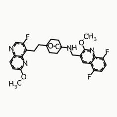 COc1ccc2ncc(F)c(CCC34CCC(NCc5cc6c(F)ccc(F)c6nc5OC)(CC3)CO4)c2n1